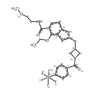 CCOc1c(C(=O)NCCOC)ccc2nn(CC3CN(C(=O)c4ccc(S(F)(F)(F)(F)F)cc4)C3)cc12